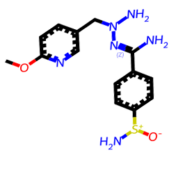 COc1ccc(CN(N)/N=C(\N)c2ccc([S+](N)[O-])cc2)cn1